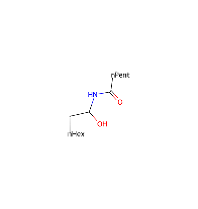 CCCCCCCC(O)NC(=O)CCCCC